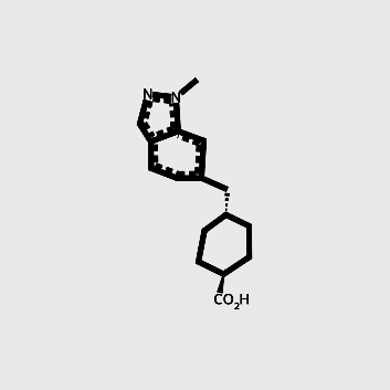 Cn1ncc2ccc(C[C@H]3CC[C@H](C(=O)O)CC3)cc21